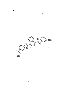 CC(C)(C)CC(C)(C)c1ccc2oc(-c3ccc(-c4nc5cc(C(C)(C)C)ccc5o4)c4ccccc34)nc2c1